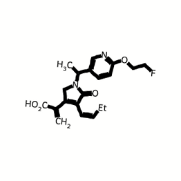 C=C(C(=O)O)C1=C(/C=C\CC)C(=O)N(C(C)c2ccc(OCCF)nc2)C1